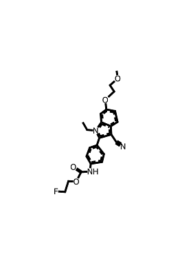 CCn1c(-c2ccc(NC(=O)OCCF)cc2)c(C#N)c2ccc(OCCOC)cc21